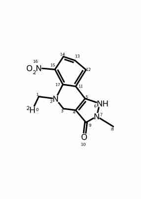 [2H]CN1Cc2c([nH]n(C)c2=O)-c2cccc([N+](=O)[O-])c21